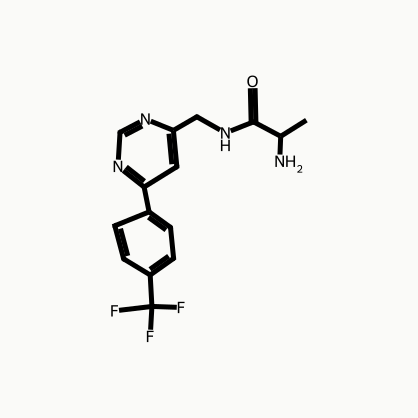 CC(N)C(=O)NCc1cc(-c2ccc(C(F)(F)F)cc2)ncn1